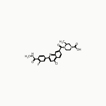 CNC(=O)c1ccc(-c2cc(Cl)c3ccc(C(=O)N4CCN(C(=O)O)CC4C)cc3n2)cc1F